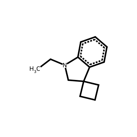 CCN1CC2(CCC2)c2ccccc21